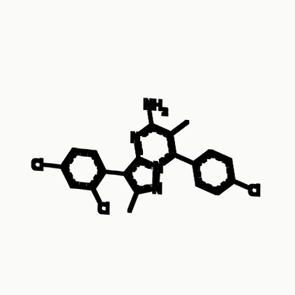 Cc1nn2c(-c3ccc(Cl)cc3)c(C)c(N)nc2c1-c1ccc(Cl)cc1Cl